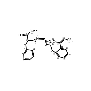 COC(=O)C(Cc1ccccc1)O/N=C\COCc1ccccc1/C(=C\C(F)(F)F)C(=O)O